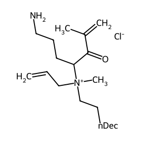 C=CC[N+](C)(CCCCCCCCCCCC)C(CCCN)C(=O)C(=C)C.[Cl-]